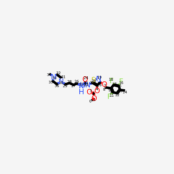 COC(=O)Oc1c(OCc2c(F)cc(C)c(F)c2F)nsc1NC(=O)NCCCCN1CCN(C)CC1